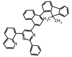 CC1(C)c2ccccc2-c2cccc(-c3ccc(-c4cc(-c5cccc6cccnc56)nc(-c5ccccc5)n4)c4ccccc34)c21